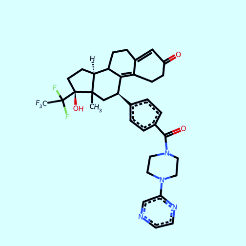 CC12C[C@H](c3ccc(C(=O)N4CCN(c5cnccn5)CC4)cc3)C3=C4CCC(=O)C=C4CCC3[C@@H]1CC[C@@]2(O)C(F)(F)C(F)(F)F